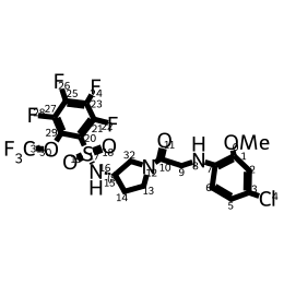 COc1cc(Cl)ccc1NCC(=O)N1CC[C@H](NS(=O)(=O)c2c(F)c(F)c(F)c(F)c2OC(F)(F)F)C1